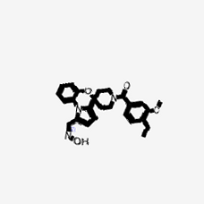 CCc1ccc(C(=O)N2CCC3(CC2)Oc2ccccc2-n2c(/C=N\O)ccc23)cc1OC